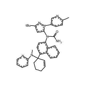 Cc1ccc(-n2nc(C(C)(C)C)cc2N(C(N)=O)c2ccc(C3(N(C)c4ccccn4)C=CCCC3)c3ccccc23)cn1